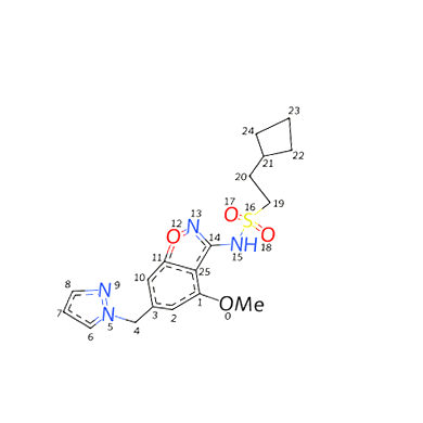 COc1cc(Cn2cccn2)cc2onc(NS(=O)(=O)CCC3CCC3)c12